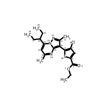 CCOC(=O)c1cc(Cl)c(-c2c(C)nn3c(C(CC)CC)cc(C)nc23)s1